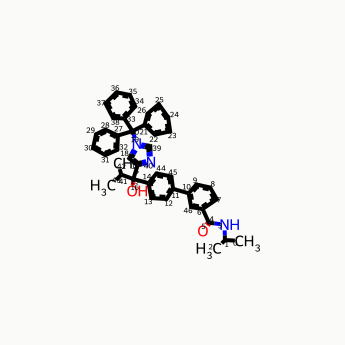 CC(C)NC(=O)c1cccc(-c2ccc(C(O)(c3cn(C(c4ccccc4)(c4ccccc4)c4ccccc4)cn3)C(C)C)cc2)c1